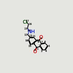 O=C1c2ccccc2C(=O)c2cc(CNCCCl)ccc21